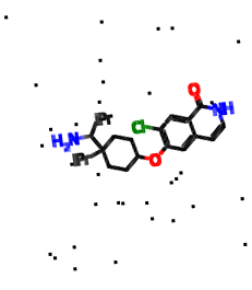 CC(C)C(N)C1(C(C)C)CCC(Oc2cc3cc[nH]c(=O)c3cc2Cl)CC1